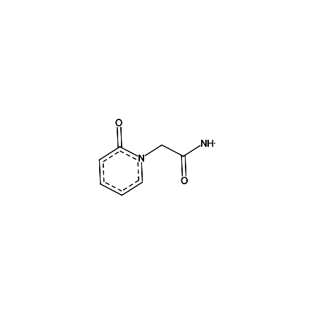 [NH]C(=O)Cn1ccccc1=O